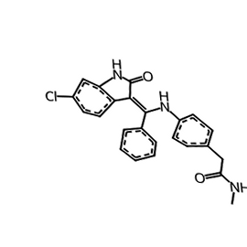 CNC(=O)Cc1ccc(N/C(=C2\C(=O)Nc3cc(Cl)ccc32)c2ccccc2)cc1